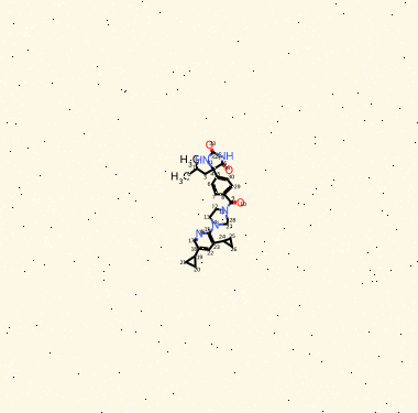 CC(C)CC1(c2ccc(C(=O)N3CCN(c4ncc(C5CC5)cc4C4CC4)CC3)cc2)NC(=O)NC1=O